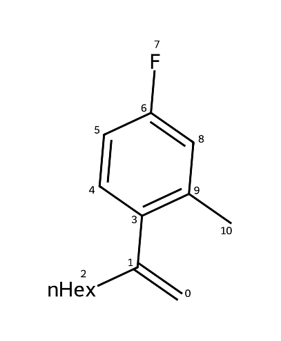 C=C(CCCCCC)c1ccc(F)cc1C